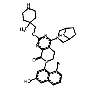 CC1(COc2nc3c(c(N4CC5CCC(C4)N5)n2)CCN(c2cc(O)cc4cccc(Br)c24)C3=O)CCNCC1